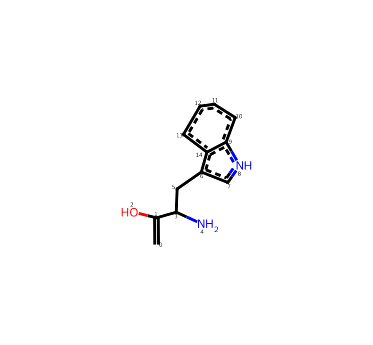 C=C(O)C(N)Cc1c[nH]c2ccccc12